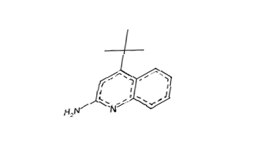 CC(C)(C)c1cc(N)nc2ccccc12